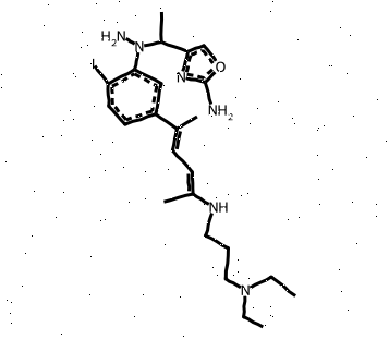 CCN(CC)CCCN/C(C)=C/C=C(\C)c1ccc(I)c(N(N)C(C)c2coc(N)n2)c1